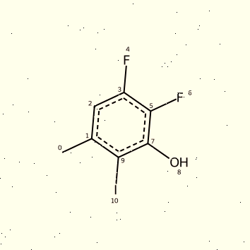 Cc1cc(F)c(F)c(O)c1I